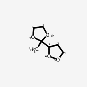 CC1(C2CCOO2)OCCO1